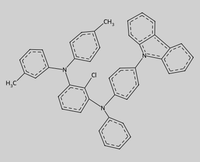 Cc1ccc(N(c2cccc(C)c2)c2cccc(N(c3ccccc3)c3ccc(-n4c5ccccc5c5ccccc54)cc3)c2Cl)cc1